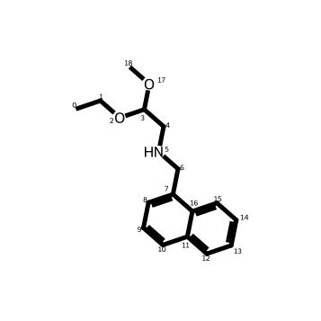 CCOC(CNCc1cccc2ccccc12)OC